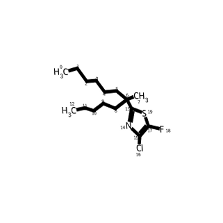 CCCCCCC(C)(CCCCC)c1nc(Cl)c(F)s1